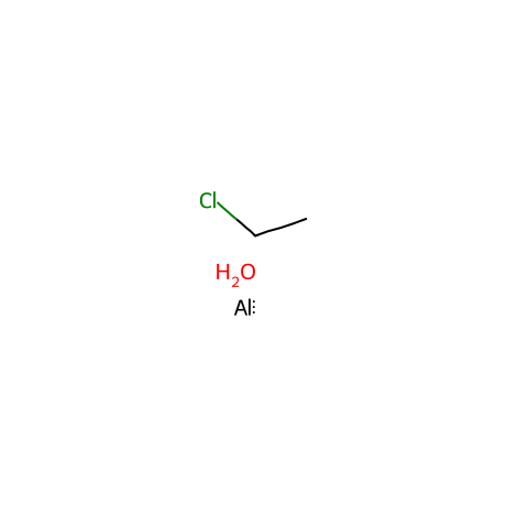 CCCl.O.[Al]